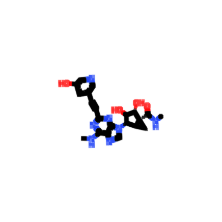 CNC(=O)[C@]12CC1[C@@H](n1cnc3c(NC)nc(C#Cc4cncc(O)c4)nc31)C(O)[C@@H]2O